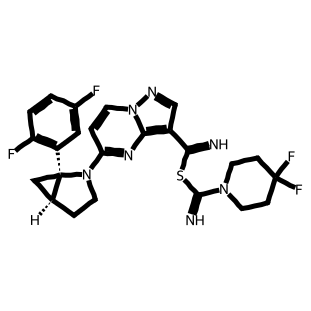 N=C(SC(=N)N1CCC(F)(F)CC1)c1cnn2ccc(N3CC[C@H]4C[C@]43c3cc(F)ccc3F)nc12